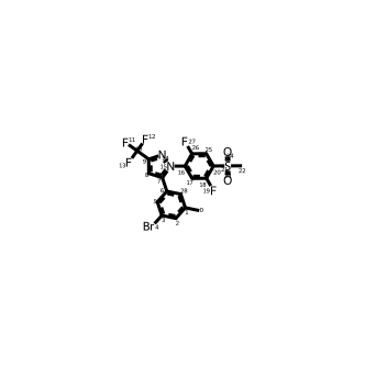 Cc1cc(Br)cc(-c2cc(C(F)(F)F)nn2-c2cc(F)c(S(C)(=O)=O)cc2F)c1